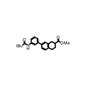 COC(=O)C1CCc2ccc(-c3cccc(NC(=O)C(C)(C)C)c3)cc2C1